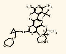 Cc1nc(N)c(F)c(-c2nc3c4c(nc(OCC5(CN6CCOCC6)CC5)nc4c2F)N2CCNC[C@H]2[C@H](C)O3)c1C(F)(F)F